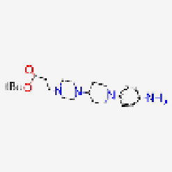 CC(C)(C)OC(=O)CCN1CCN(C2CCN(c3ccc(N)cc3)CC2)CC1